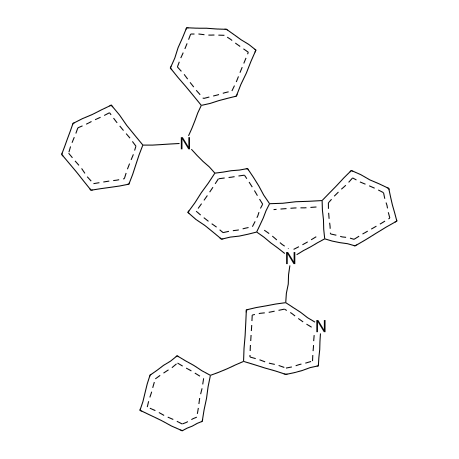 c1ccc(-c2ccnc(-n3c4ccccc4c4cc(N(c5ccccc5)c5ccccc5)ccc43)c2)cc1